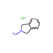 Cl.NN1Cc2ccccc2C1